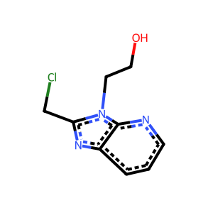 OCCn1c(CCl)nc2cccnc21